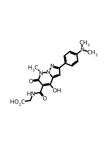 CN(C)c1ccc(-c2cc3c(O)c(C(=O)NCC(=O)O)c(=O)n(C)n3n2)cc1